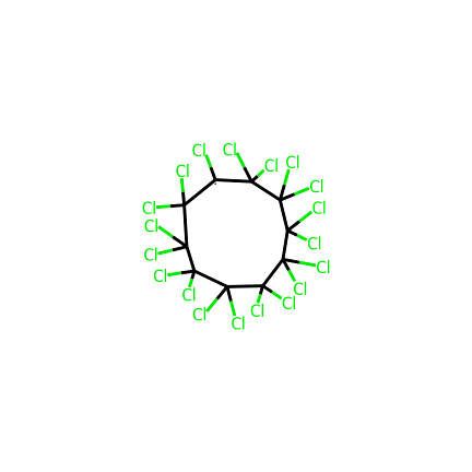 Cl[C]1C(Cl)(Cl)C(Cl)(Cl)C(Cl)(Cl)C(Cl)(Cl)C(Cl)(Cl)C(Cl)(Cl)C(Cl)(Cl)C(Cl)(Cl)C1(Cl)Cl